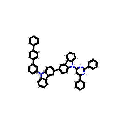 c1ccc(-c2ccc(-c3cccc(-n4c5ccccc5c5cc(-c6ccc7c(c6)c6ccccc6n7-c6cc(-c7ccccc7)nc(-c7ccccc7)n6)ccc54)c3)cc2)cc1